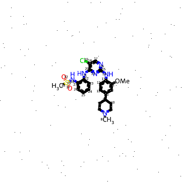 COc1cc(C2CCN(C)CC2)ccc1Nc1ncc(Cl)c(Nc2ccccc2NS(C)(=O)=O)n1